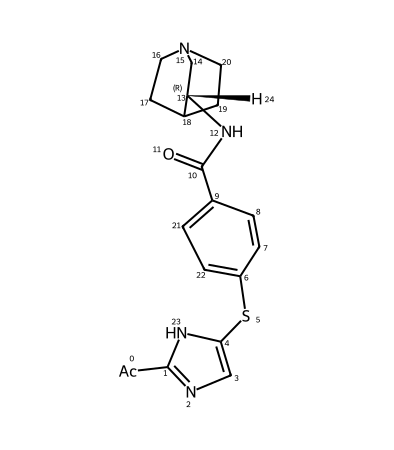 CC(=O)c1ncc(Sc2ccc(C(=O)N[C@H]3CN4CCC3CC4)cc2)[nH]1